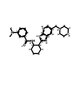 CN(C)c1cccc(C(=O)NC2CCCCC2c2nc3cc(CN4CCOCC4)cnc3s2)c1